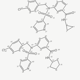 O=C(NC1CC1)c1cccc(N(Cc2ccc(Cl)cc2)S(=O)(=O)c2cccnc2)c1.O=C(NC1CCCC1)c1cccc(N(Cc2ccc(Cl)cc2)S(=O)(=O)c2cccnc2)c1